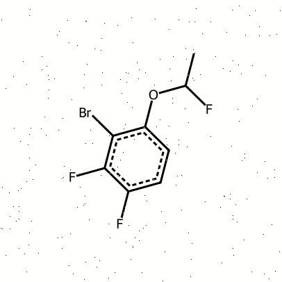 CC(F)Oc1ccc(F)c(F)c1Br